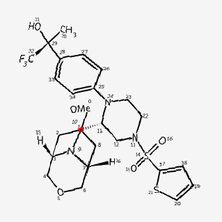 COC1C[C@H]2COC[C@@H](C1)N2C[C@H]1CN(S(=O)(=O)c2cccs2)CCN1c1ccc([C@@](C)(O)C(F)(F)F)cc1